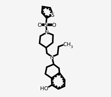 CCCN(CC1CCN(S(=O)(=O)c2cccs2)CC1)C1CCc2c(O)cccc2C1